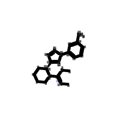 C/N=C(\SC)N1CCCC[C@@H]1c1nnn(-c2cccc(N)c2)n1